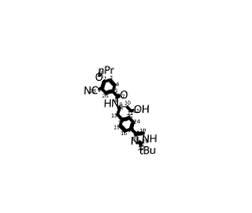 CCCOc1ccc(C(=O)N[C@H](CCO)Cc2ccc(-c3c[nH]c(C(C)(C)C)n3)cc2)cc1C#N